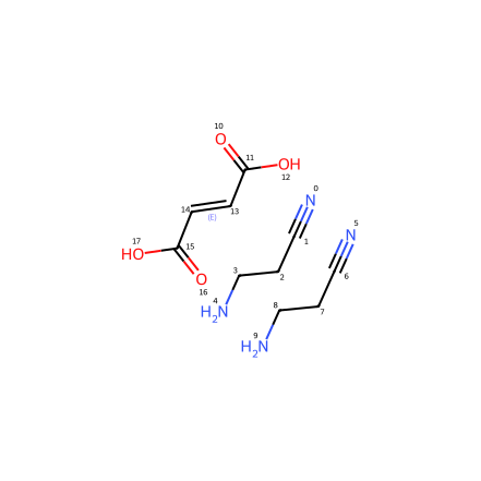 N#CCCN.N#CCCN.O=C(O)/C=C/C(=O)O